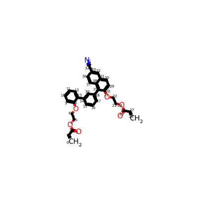 C=CC(=O)OCCOc1ccccc1-c1cccc(-c2c(OCCOC(=O)C=C)ccc3cc(C#N)ccc23)c1